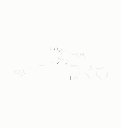 C=C1C[C@H](O)[C@H](CCCCCCC(=O)O)[C@H]1C=CC(O)c1cc2ccccc2s1